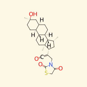 C[C@@H]1C[C@H](C(=C=O)CN2C(=O)CSC2=O)[C@@]2(C)CC[C@H]3[C@@H](CC[C@@H]4C[C@](C)(O)CC[C@@H]43)[C@H]12